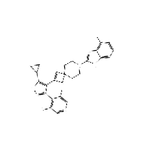 Cc1cccc2sc(N3CCC4(C=C(c5c(-c6c(Cl)cncc6Cl)noc5C5CC5)C4)CC3)nc12